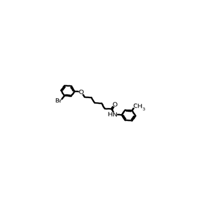 Cc1cccc(NC(=O)CCCCCOc2cccc(Br)c2)c1